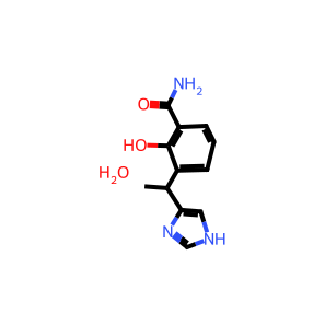 CC(c1c[nH]cn1)c1cccc(C(N)=O)c1O.O